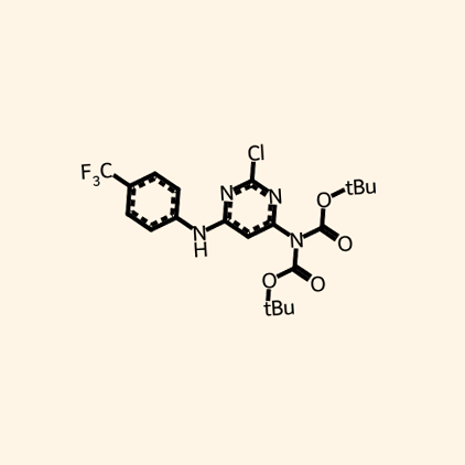 CC(C)(C)OC(=O)N(C(=O)OC(C)(C)C)c1cc(Nc2ccc(C(F)(F)F)cc2)nc(Cl)n1